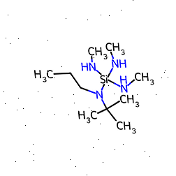 CCCN(C(C)(C)C)[Si](NC)(NC)NC